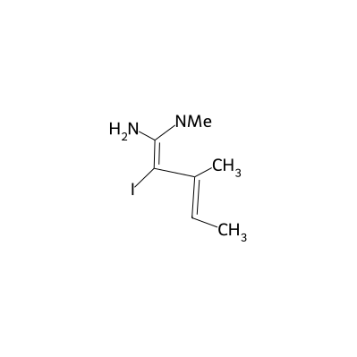 C/C=C(C)/C(I)=C(/N)NC